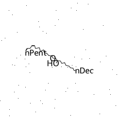 CCCCC/C=C\C/C=C\CCCCCCCCOCC(O)CCCCCCCCCCCCCCCCCC